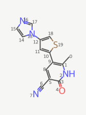 Cc1[nH]c(=O)c(C#N)cc1-c1cc(-n2ccnc2)cs1